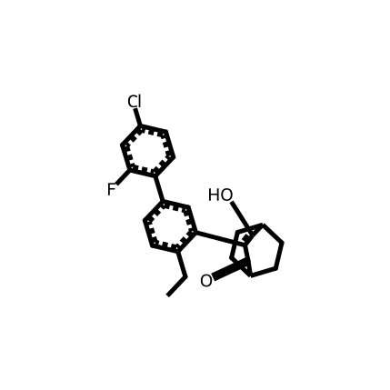 CCc1ccc(-c2ccc(Cl)cc2F)cc1C1=C(O)C2CCC(CC2)C1=O